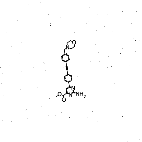 COC(=O)c1cc(-c2ccc(C#Cc3ccc(CN4CCOCC4)cc3)cc2)nc(N)n1